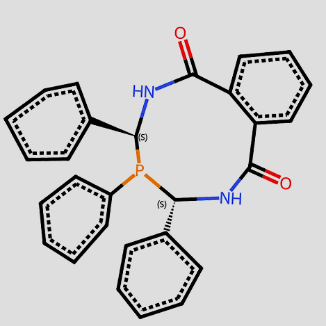 O=C1N[C@H](c2ccccc2)P(c2ccccc2)[C@@H](c2ccccc2)NC(=O)c2ccccc21